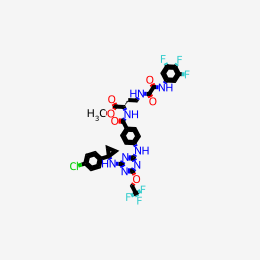 COC(=O)[C@H](CCNC(=O)C(=O)Nc1cc(F)c(F)c(F)c1)NC(=O)c1ccc(Nc2nc(NC3(c4ccc(Cl)cc4)CC3)nc(OCC(F)(F)F)n2)cc1